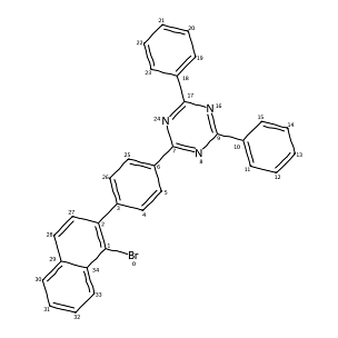 Brc1c(-c2ccc(-c3nc(-c4ccccc4)nc(-c4ccccc4)n3)cc2)ccc2ccccc12